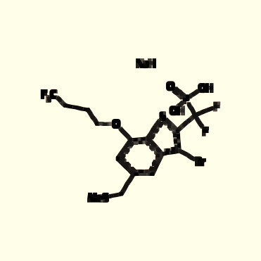 CSCc1cc(OCCCC(F)(F)F)c2sc(C(F)(F)P(=O)(O)O)c(Br)c2c1.[NaH]